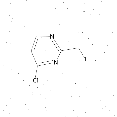 Clc1ccnc(CI)n1